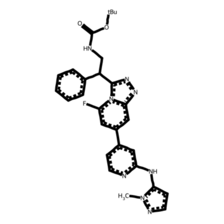 Cn1nccc1Nc1cc(-c2cc(F)n3c(C(CNC(=O)OC(C)(C)C)c4ccccc4)nnc3c2)ccn1